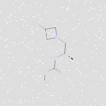 C[C@H](CN1CC(C#N)C1)NC(=O)OC(C)(C)C